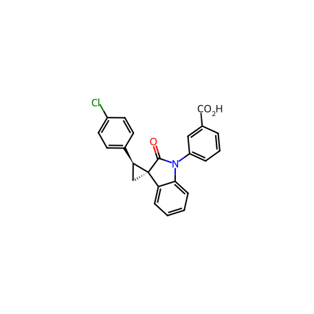 O=C(O)c1cccc(N2C(=O)[C@@]3(C[C@H]3c3ccc(Cl)cc3)c3ccccc32)c1